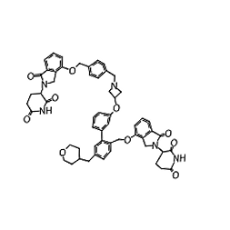 O=C1CCC(N2Cc3c(OCc4ccc(CN5CC(Oc6cccc(-c7cc(CC8CCOCC8)ccc7COc7cccc8c7CN(C7CCC(=O)NC7=O)C8=O)c6)C5)cc4)cccc3C2=O)C(=O)N1